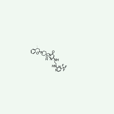 C[C@H](CC(=O)N1CCC(O)(Cn2cnc(NCCNc3nccc(C(F)(F)F)n3)cc2=O)CC1)c1ccccc1